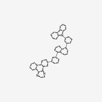 c1cc(-c2ccc3c4ccccc4c4nccnc4c3c2)cc(-c2cccc3c(-c4cccc(-n5c6ccccc6c6ccccc65)c4)cccc23)c1